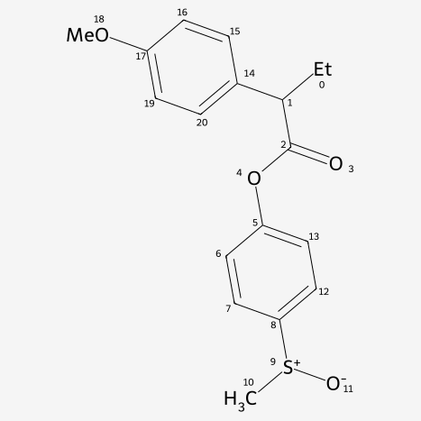 CCC(C(=O)Oc1ccc([S+](C)[O-])cc1)c1ccc(OC)cc1